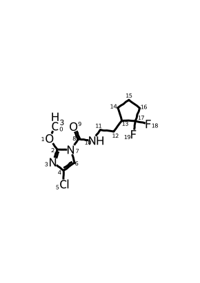 COc1nc(Cl)cn1C(=O)NCCC1CCCC1(F)F